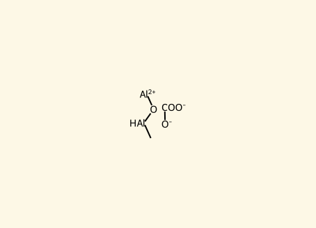 O=C([O-])[O-].[CH3][AlH][O][Al+2]